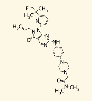 C=CCn1c(=O)c2cnc(Nc3ccc(N4CCN(CC(=O)N(C)C)CC4)cc3)nc2n1-c1cccc(C(C)(C)CF)n1